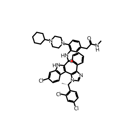 CNC(=O)Cc1ccc(N2CCN(C3CCCCC3)CC2)c(NC(=O)c2[nH]c3cc(Cl)ccc3c2-c2c(-c3ccccc3)ncn2[C@@H](C)c2ccc(Cl)cc2Cl)c1